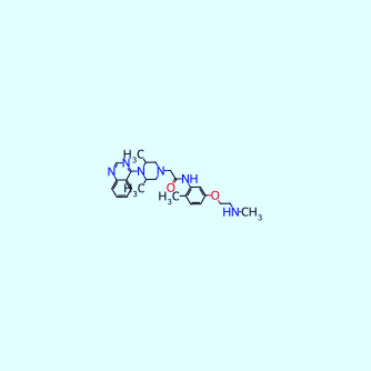 CNCCOc1ccc(C)c(NC(=O)CN2CC(C)N(c3ncnc4ccccc34)C(C)C2)c1